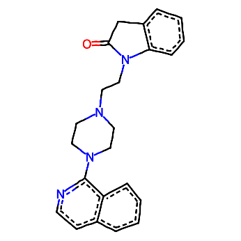 O=C1Cc2ccccc2N1CCN1CCN(c2nccc3ccccc23)CC1